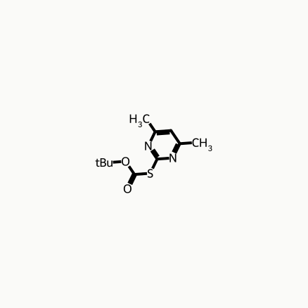 Cc1cc(C)nc(SC(=O)OC(C)(C)C)n1